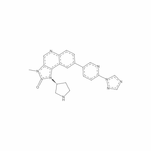 Cn1c(=O)n([C@H]2CCNC2)c2c3cc(-c4ccc(-n5cncn5)nc4)ccc3ncc21